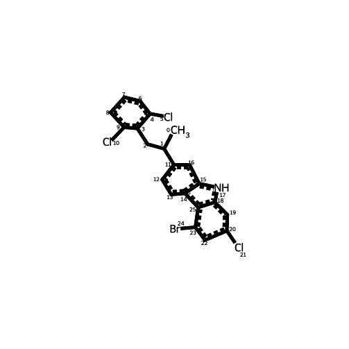 CC(Cc1c(Cl)cccc1Cl)c1ccc2c(c1)[nH]c1cc(Cl)cc(Br)c12